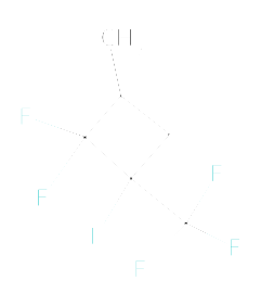 CC1CC(F)(C(F)(F)F)C1(F)F